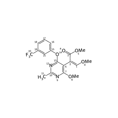 CO/C=C(\C(=O)OC)c1c(OC)nc(C)nc1Oc1cccc(C(F)(F)F)c1